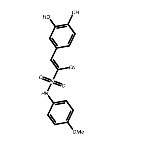 COc1ccc(NS(=O)(=O)/C(C#N)=C/c2ccc(O)c(O)c2)cc1